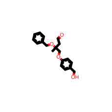 CC(CC=O)(COc1ccc(CO)cc1)OCc1ccccc1